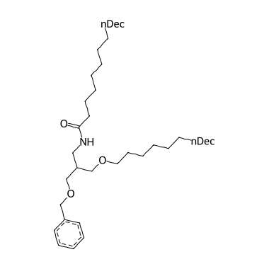 CCCCCCCCCCCCCCCCCC(=O)NCC(COCCCCCCCCCCCCCCCC)COCc1ccccc1